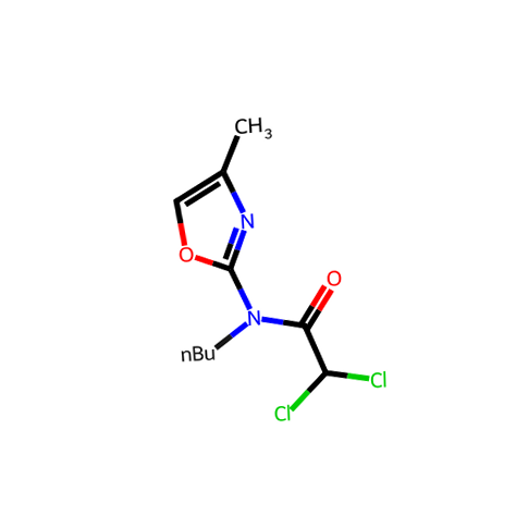 CCCCN(C(=O)C(Cl)Cl)c1nc(C)co1